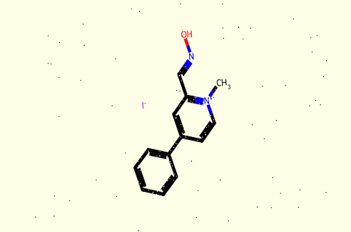 C[n+]1ccc(-c2ccccc2)cc1C=NO.[I-]